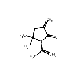 C=C1CC(C)(C)N(C(=C)C)C1=O